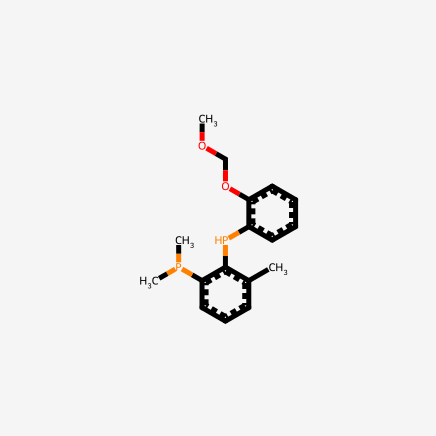 COCOc1ccccc1Pc1c(C)cccc1P(C)C